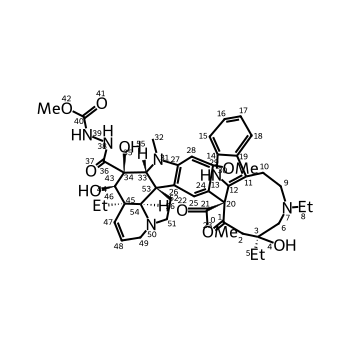 C=C1C[C@@](O)(CC)CN(CC)CCc2c([nH]c3ccccc23)[C@@]1(C(=O)OC)c1cc2c(cc1OC)N(C)[C@H]1[C@@](O)(C(=O)NNC(=O)OC)[C@H](O)[C@]3(CC)C=CCN4CC[C@]21[C@@H]43